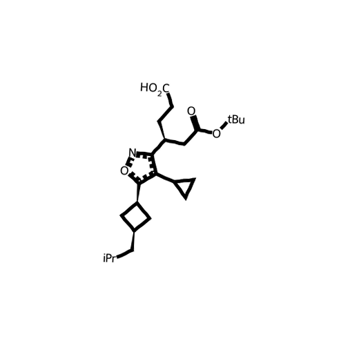 CC(C)C[C@H]1C[C@@H](c2onc([C@@H](CCC(=O)O)CC(=O)OC(C)(C)C)c2C2CC2)C1